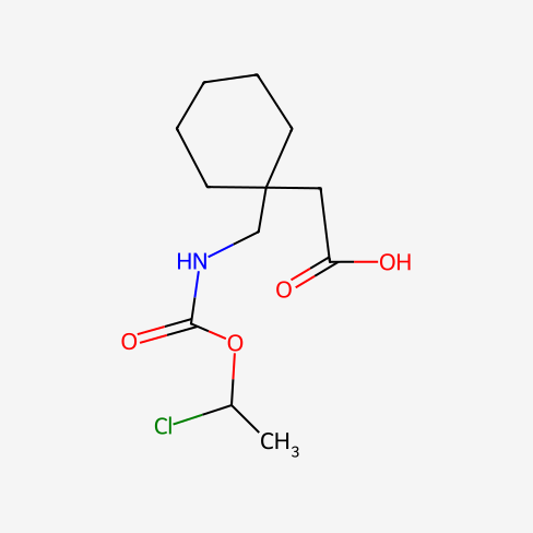 CC(Cl)OC(=O)NCC1(CC(=O)O)CCCCC1